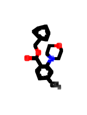 Cc1ccc(C(=O)OCc2ccccc2)c(N2CCOCC2)c1